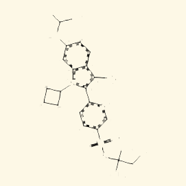 CC(C)(CF)NS(=O)(=O)c1ccc(-c2c(C#N)c3ccc(OC(F)F)cc3n2C2CCC2)nc1